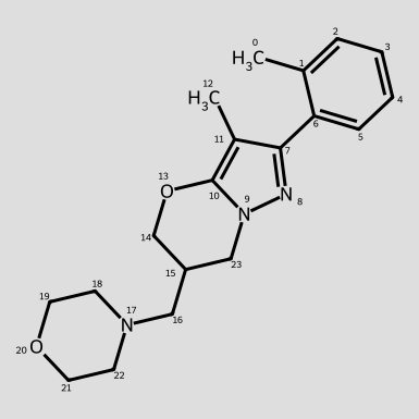 Cc1ccccc1-c1nn2c(c1C)OCC(CN1CCOCC1)C2